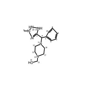 CN1N=C(C(c2ccccc2)N2CCN(CO)CC2)NN1